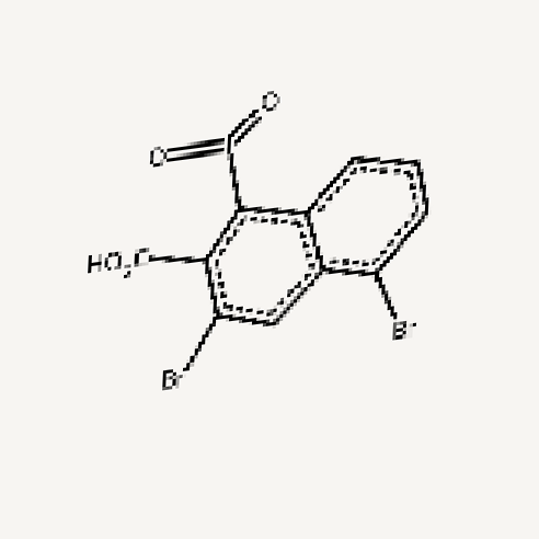 O=C(O)c1c(Br)cc2c(Br)cccc2c1I(=O)=O